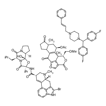 CC(C)C[C@H]1C(=O)N2CCC[C@H]2[C@]2(O)O[C@](NC(=O)[C@@H]3C=C4c5cccc6[nH]c(Br)c(c56)C[C@H]4N(C)C3)(C(C)C)C(=O)N12.COC[C@H]1OC(=O)c2coc3c2[C@@]1(C)C1=C(C3=O)C2CCC(=O)[C@@]2(C)C[C@H]1OC(C)=O.Fc1ccc(C(c2ccc(F)cc2)N2CCN(C/C=C/c3ccccc3)CC2)cc1